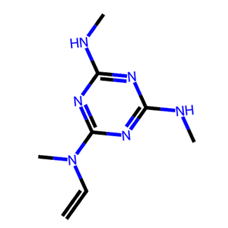 C=CN(C)c1nc(NC)nc(NC)n1